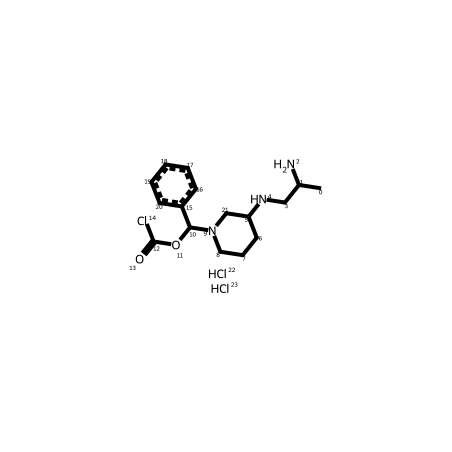 CC(N)CNC1CCCN(C(OC(=O)Cl)c2ccccc2)C1.Cl.Cl